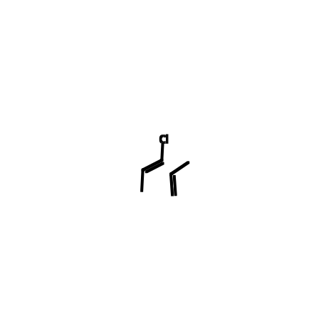 C=CC.CC=CCl